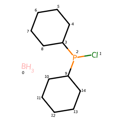 B.ClP(C1CCCCC1)C1CCCCC1